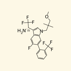 COCC(C)(C)Cn1cc([C@H](N)C(F)(F)F)c2cc(F)c(-c3ccccc3C(F)(F)F)cc21